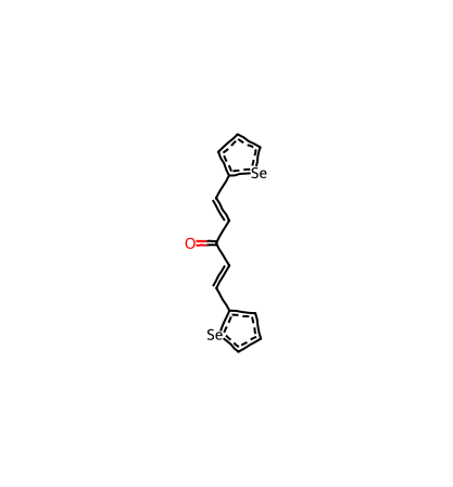 O=C(/C=C/c1ccc[se]1)/C=C/c1ccc[se]1